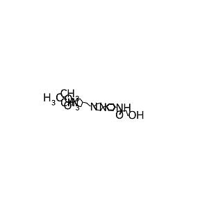 CC(C)(C)OC(=O)N1CCC(CCN2CCN(c3ccc(NC(=O)CCO)cc3)CC2)CC1